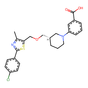 Cc1nc(-c2ccc(Cl)cc2)sc1COC[C@H]1CCCN(c2cccc(C(=O)O)c2)C1